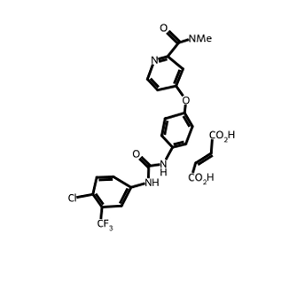 CNC(=O)c1cc(Oc2ccc(NC(=O)Nc3ccc(Cl)c(C(F)(F)F)c3)cc2)ccn1.O=C(O)C=CC(=O)O